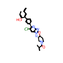 C=C/C=C(\C(O)=C/C)c1ccc(-c2nc3nc(OC4CCN(C(=O)C(C)C)CC4)[nH]c3cc2Cl)cc1